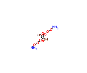 NCCOCCOCCOC(=O)c1cc(S)c(C(=O)OCCOCCOCCN)cc1S